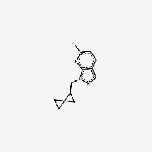 Clc1cnc2cnn(CC3CC34CC4)c2n1